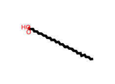 CCCCCCCCCC=CCC=CCCCCCCCCCCCCCCCC(=O)O